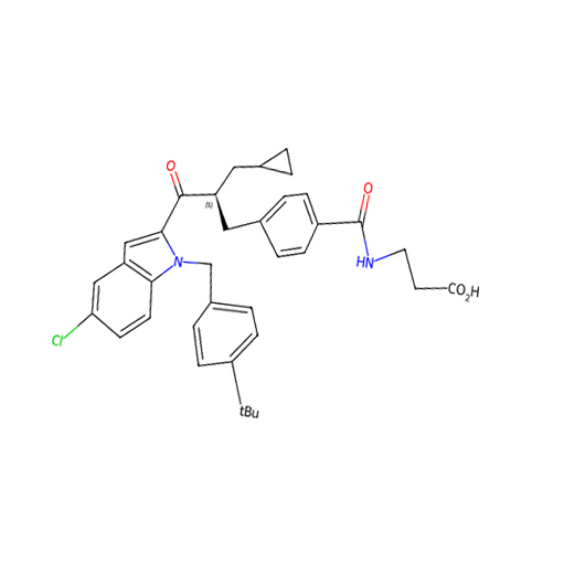 CC(C)(C)c1ccc(Cn2c(C(=O)[C@H](Cc3ccc(C(=O)NCCC(=O)O)cc3)CC3CC3)cc3cc(Cl)ccc32)cc1